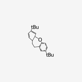 CC(C)(C)C1=CC2Oc3ccc(C(C)(C)C)cc3CCC2C=C1